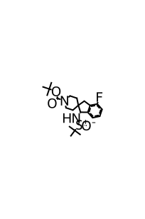 CC(C)(C)OC(=O)N1CCC2(CC1)Cc1c(F)cccc1C2N[S@+]([O-])C(C)(C)C